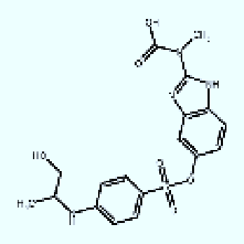 CC(CO)Nc1ccc(S(=O)(=O)Oc2ccc3[nH]c(N(C)C(=O)O)nc3c2)cc1